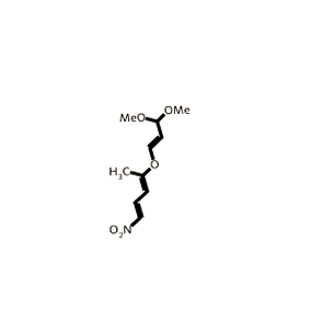 COC(/C=C/O/C(C)=C/C=C/[N+](=O)[O-])OC